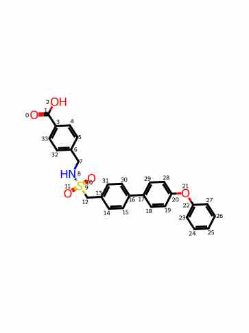 O=C(O)c1ccc(CNS(=O)(=O)Cc2ccc(-c3ccc(Oc4ccccc4)cc3)cc2)cc1